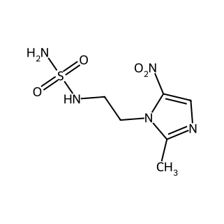 Cc1ncc([N+](=O)[O-])n1CCNS(N)(=O)=O